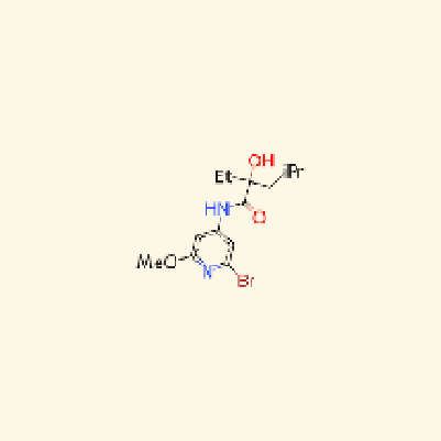 CCC(O)(CC(C)C)C(=O)Nc1cc(Br)nc(OC)c1